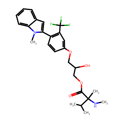 CNC(C)(C(=O)OCC(O)COc1ccc(-c2cc3ccccc3n2C)c(C(F)(F)F)c1)C(C)C